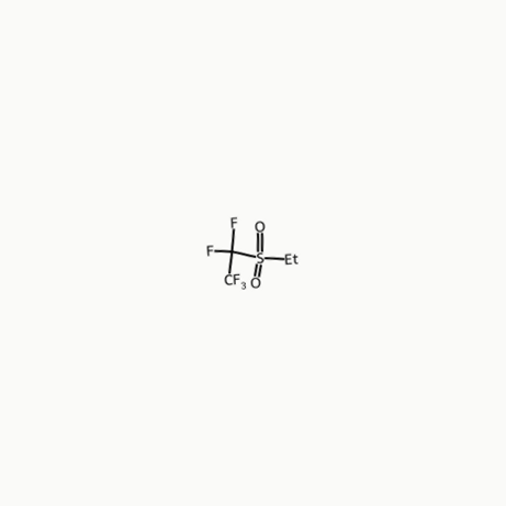 CCS(=O)(=O)C(F)(F)C(F)(F)F